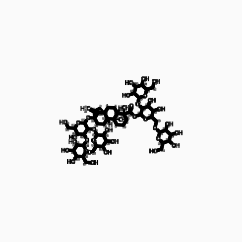 C=C1C[C@@]23CC[C@H]4[C@@](C)(CCC[C@@]4(C)C(=O)OC4OC(COC5OC(CO)C(O)C(O)C5O)C(O)C(O)C4OC4OC(CO)C(O)C(O)C4O)[C@@H]2CCC1(OC1OC(CO)C(O)C(OC2OC(CO)C(O)C(O)C2O)C1OC1OC(CO)C(O)C(O)C1O)C3